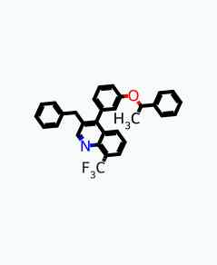 CC(Oc1cccc(-c2c(Cc3ccccc3)cnc3c(C(F)(F)F)cccc23)c1)c1ccccc1